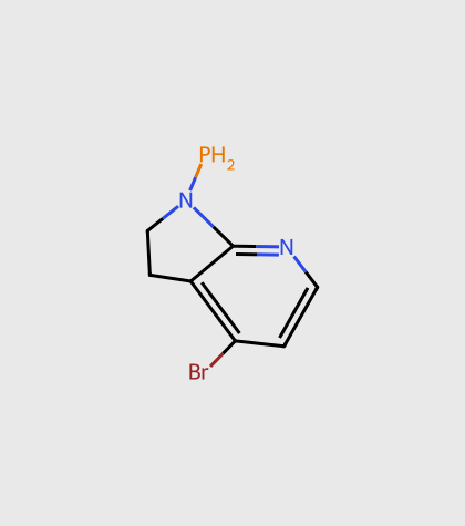 PN1CCc2c(Br)ccnc21